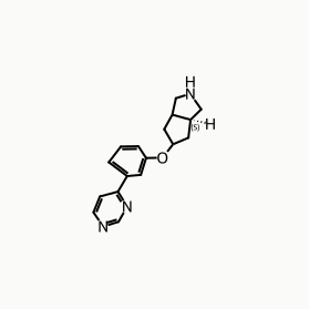 c1cc(OC2CC3CNC[C@H]3C2)cc(-c2ccncn2)c1